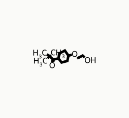 CC(C)(C)C(=O)C1CCC(OCCO)CC1